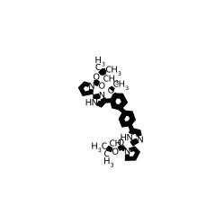 COc1ccc(-c2ccc(-c3cnc([C@@H]4CCCN4C(=O)OC(C)(C)C)[nH]3)cc2)cc1-c1c[nH]c([C@@H]2CCCN2C(=O)OC(C)(C)C)n1